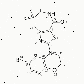 CC1(C)CNC(=O)c2sc(N3CCOc4ccc(Br)cc43)nc2C1